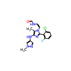 Cc1c(Nc2cnn(C)c2)nc(-c2c(F)cccc2Cl)n1/C=C\NC=O